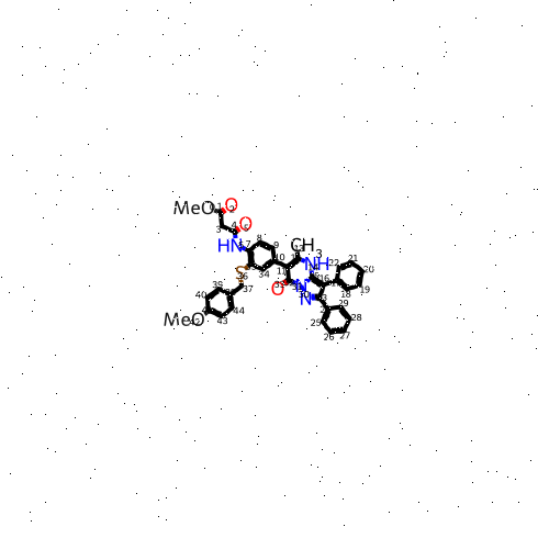 COC(=O)CC(=O)Nc1ccc(-c2c(C)[nH]c3c(-c4ccccc4)c(-c4ccccc4)nn3c2=O)cc1SCc1ccc(OC)cc1